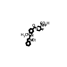 CCn1c(-c2nc3cc(C(=O)N4CCC(F)C(NC(=O)O)C4)ccc3n2C)cc2ccccc21